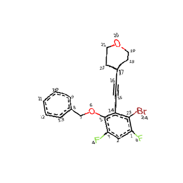 Fc1cc(F)c(OCc2ccccc2)c(C#CC2CCOCC2)c1Br